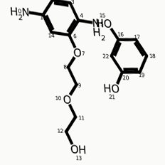 Nc1ccc(N)c(OCCOCCO)c1.Oc1cccc(O)c1